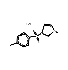 Cc1ccc(S(=O)(=O)N2C=CN(C)C2)cc1.Cl